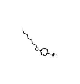 CCCc1ccc(OCCCCCCI)cc1